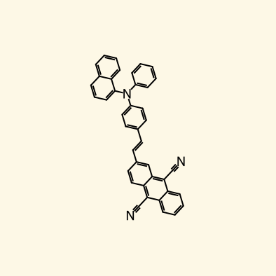 N#Cc1c2ccccc2c(C#N)c2cc(C=Cc3ccc(N(c4ccccc4)c4cccc5ccccc45)cc3)ccc12